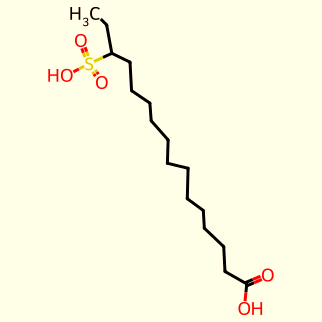 CCC(CCCCCCCCCCCCC(=O)O)S(=O)(=O)O